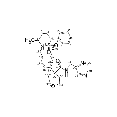 C[C@H]1CC[C@H](c2ccccc2)S(=O)(=O)N1Cc1ccc(C2(C(=O)NCc3cnccn3)CCOCC2)cc1F